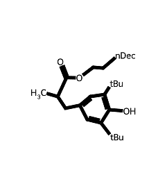 CCCCCCCCCCCCOC(=O)C(C)Cc1cc(C(C)(C)C)c(O)c(C(C)(C)C)c1